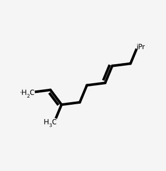 [CH2]C=C(C)CCC=CCC(C)C